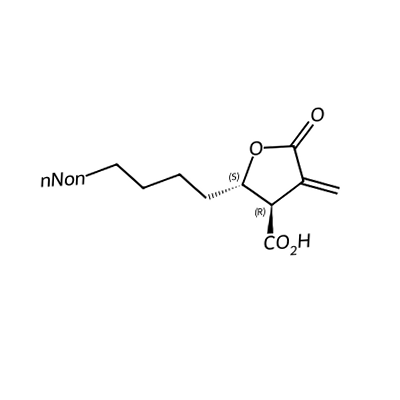 C=C1C(=O)O[C@@H](CCCCCCCCCCCCC)[C@@H]1C(=O)O